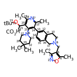 Cc1noc(C)c1CN1CCc2cc(-c3c(C)nc(C)c(C(OC(C)(C)C)C(=O)O)c3N3CCC(C)(C)CC3)ccc2C1